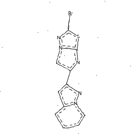 Brc1nn2cc(-c3cc4ccccn4n3)nc2s1